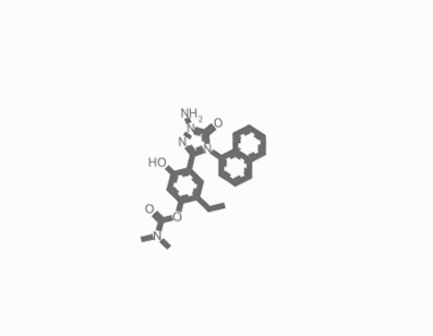 CCc1cc(-c2nn(N)c(=O)n2-c2cccc3ccccc23)c(O)cc1OC(=O)N(C)C